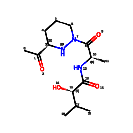 CC(=O)[C@@H]1CCCN(C(=O)[C@H](C)NC(=O)[C@@H](O)C(C)C)N1